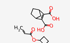 C=CC(=O)OC1CCC1.O=C(O)C1=C(C(=O)O)C2CCC1C2